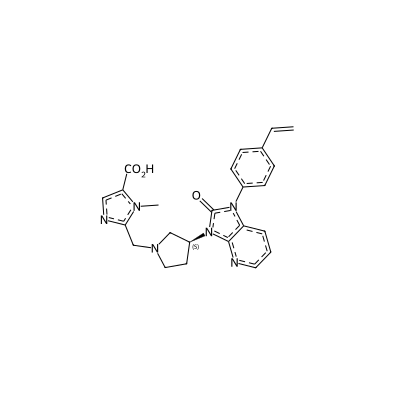 C=Cc1ccc(-n2c(=O)n([C@H]3CCN(Cc4ncc(C(=O)O)n4C)C3)c3ncccc32)cc1